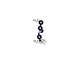 Cc1cccc(-c2ccc3c(ccn3Cc3ccc(C(C)(C)C)cc3)c2)c1